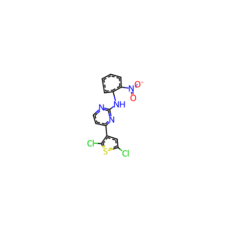 O=[N+]([O-])c1ccccc1Nc1nccc(-c2cc(Cl)sc2Cl)n1